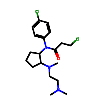 CN(C)CCN(C)C1CCCC1N(C(=O)CCCl)c1ccc(Cl)cc1